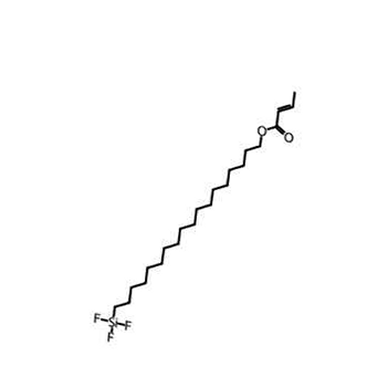 CC=CC(=O)OCCCCCCCCCCCCCCCCCC[Si](F)(F)F